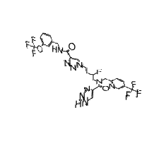 O=C(NCc1cccc(OC(F)(F)F)c1)c1cn(CCC(F)CN(Cc2ccc(C(F)(F)F)cn2)C(=O)c2c[nH]nn2)nn1